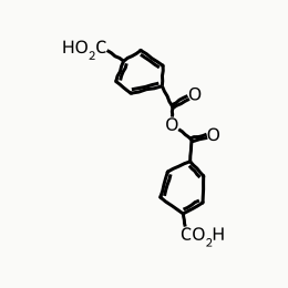 O=C(O)c1ccc(C(=O)OC(=O)c2ccc(C(=O)O)cc2)cc1